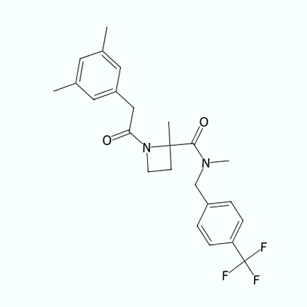 Cc1cc(C)cc(CC(=O)N2CCC2(C)C(=O)N(C)Cc2ccc(C(F)(F)F)cc2)c1